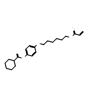 C=CC(=N)OCCCCCCOc1ccc(OC(=O)C2CCCCC2)cc1